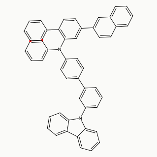 c1ccc(-c2ccc(-c3ccc4ccccc4c3)cc2N(c2ccccc2)c2ccc(-c3cccc(-n4c5ccccc5c5ccccc54)c3)cc2)cc1